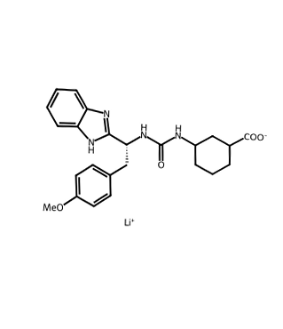 COc1ccc(C[C@@H](NC(=O)NC2CCCC(C(=O)[O-])C2)c2nc3ccccc3[nH]2)cc1.[Li+]